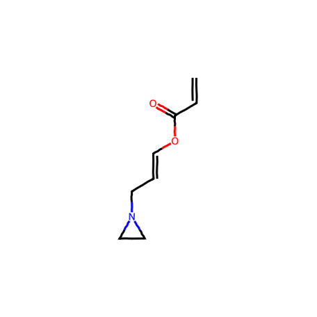 C=CC(=O)OC=CCN1CC1